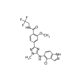 COc1cc(-c2nc(Nc3ccc4[nH]ncc4c3Cl)n(C)n2)ccc1C(=O)NCC(F)(F)F